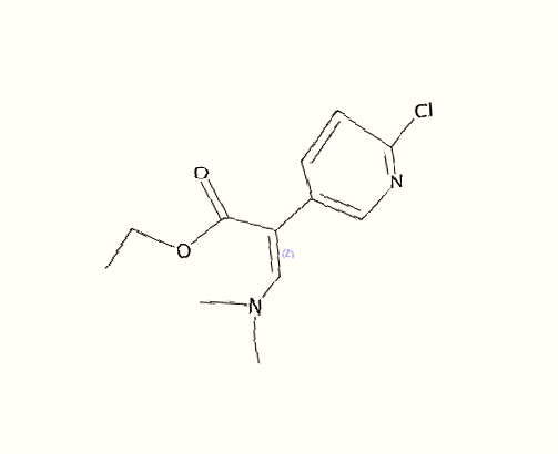 CCOC(=O)/C(=C\N(C)C)c1ccc(Cl)nc1